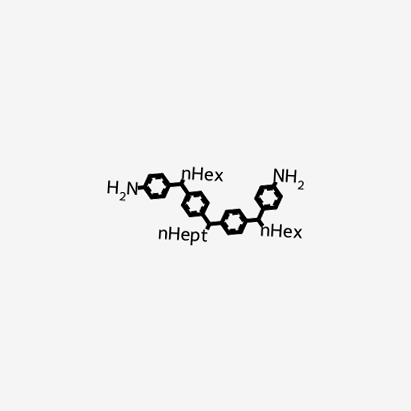 CCCCCCCC(c1ccc(C(CCCCCC)c2ccc(N)cc2)cc1)c1ccc(C(CCCCCC)c2ccc(N)cc2)cc1